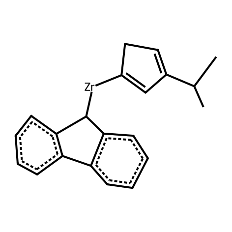 CC(C)C1=CC[C]([Zr][CH]2c3ccccc3-c3ccccc32)=C1